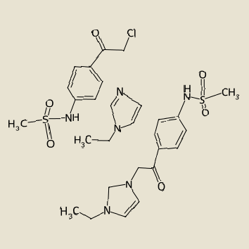 CCN1C=CN(CC(=O)c2ccc(NS(C)(=O)=O)cc2)C1.CCn1ccnc1.CS(=O)(=O)Nc1ccc(C(=O)CCl)cc1